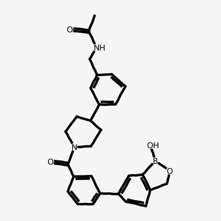 CC(=O)NCc1cccc(C2CCN(C(=O)c3cccc(-c4ccc5c(c4)B(O)OC5)c3)CC2)c1